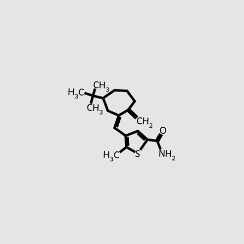 C=C1CCCC(C(C)(C)C)C/C1=C/c1cc(C(N)=O)sc1C